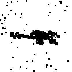 COCCCCC1CN2CCc3c([nH]c4cc(OC)c(OC)cc34)C(CO)(C1)C2C